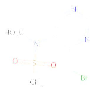 CS(=O)(=O)N(C(=O)O)c1cncnc1CBr